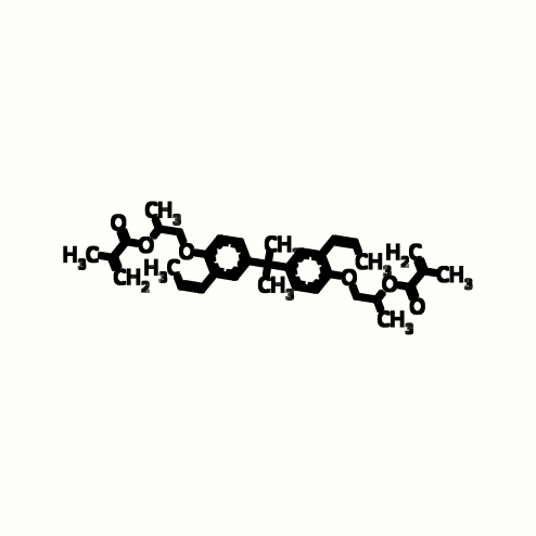 C=C(C)C(=O)OC(C)COc1ccc(C(C)(C)c2ccc(OCC(C)OC(=O)C(=C)C)c(/C=C\C)c2)cc1/C=C\C